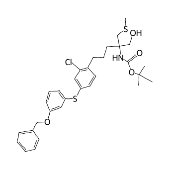 CSCC(CO)(CCCc1ccc(Sc2cccc(OCc3ccccc3)c2)cc1Cl)NC(=O)OC(C)(C)C